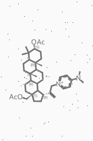 C=C(C[n+]1ccc(N(C)C)cc1)[C@@H]1CC[C@]2(COC(C)=O)CC[C@]3(C)C(CCC4[C@@]5(C)CC[C@H](OC(C)=O)C(C)(C)C5CC[C@]43C)C12